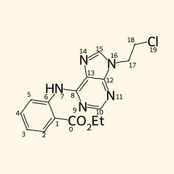 CCOC(=O)c1ccccc1Nc1ncnc2c1ncn2CCCl